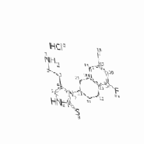 Cl.NCCc1c[nH]c(=S)n1C1CCc2c(F)cc(F)cc2C1